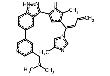 C=C/C=C(\c1cc(-c2n[nH]c3ccc(-c4cncc(CN(C)C)c4)cc23)[nH]c1C)n1cnc(C)c1